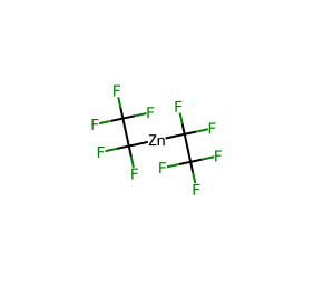 FC(F)(F)[C](F)(F)[Zn][C](F)(F)C(F)(F)F